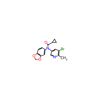 Cc1ncc(N(C(=O)C2CC2)c2ccc3c(c2)OCO3)cc1Br